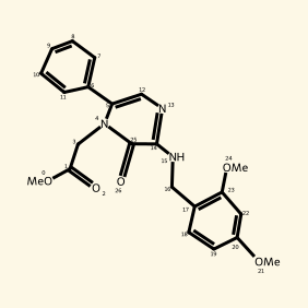 COC(=O)Cn1c(-c2ccccc2)cnc(NCc2ccc(OC)cc2OC)c1=O